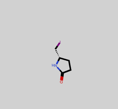 O=C1CC[C@@H](CI)N1